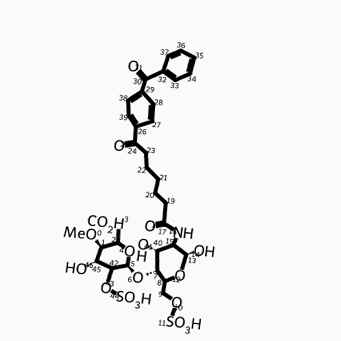 CO[C@H]1C(C(=O)O)O[C@@H](O[C@H]2C(COS(=O)(=O)O)O[C@@H](O)C(NC(=O)CCCCCC(=O)c3ccc(C(=O)c4ccccc4)cc3)[C@H]2O)C(OS(=O)(=O)O)[C@@H]1O